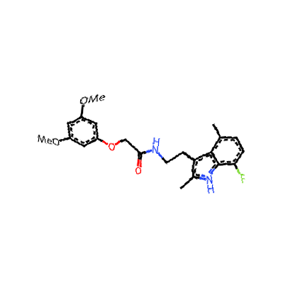 COc1cc(OC)cc(OCC(=O)NCCc2c(C)[nH]c3c(F)ccc(C)c23)c1